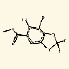 COC(=O)c1cc2c(c(Br)c1N)OC(F)(F)O2